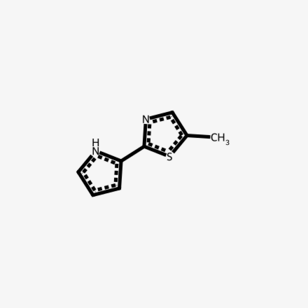 Cc1cnc(-c2ccc[nH]2)s1